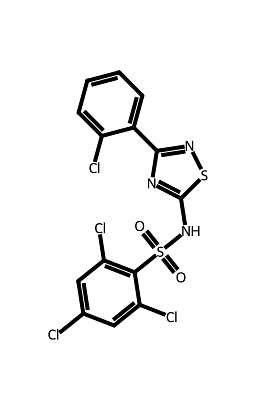 O=S(=O)(Nc1nc(-c2ccccc2Cl)ns1)c1c(Cl)cc(Cl)cc1Cl